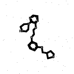 c1cc(OCCOc2nccnc2N2CCNCC2)cc(OCC2CCOC2)c1